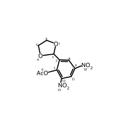 CC(=O)Oc1c(C2OCCO2)cc([N+](=O)[O-])cc1[N+](=O)[O-]